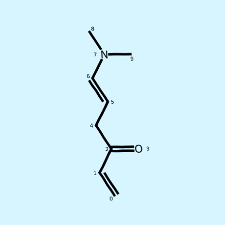 C=CC(=O)CC=CN(C)C